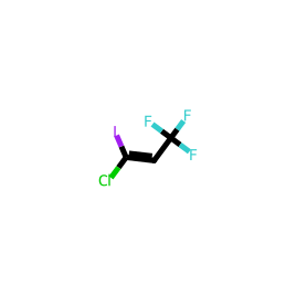 FC(F)(F)C=C(Cl)I